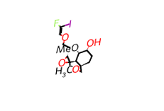 CO[C@@H]1[C@H](O)CC[C@]2(CO2)[C@H]1C1(C)O[C@@H]1CCOC=C(F)I